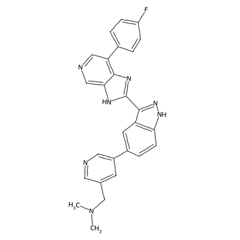 CN(C)Cc1cncc(-c2ccc3[nH]nc(-c4nc5c(-c6ccc(F)cc6)cncc5[nH]4)c3c2)c1